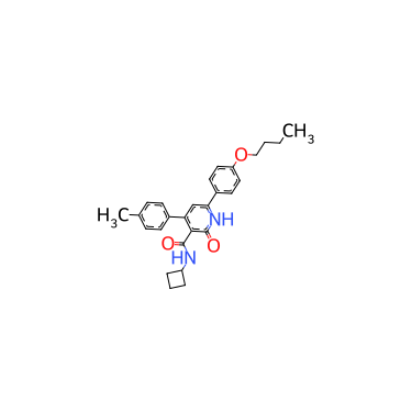 CCCCOc1ccc(-c2cc(-c3ccc(C)cc3)c(C(=O)NC3CCC3)c(=O)[nH]2)cc1